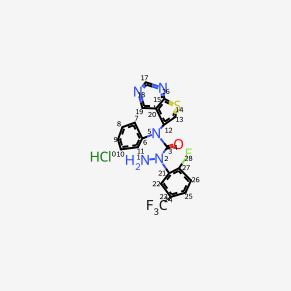 Cl.NN(C(=O)N(c1ccccc1)c1csc2ncncc12)c1cc(C(F)(F)F)ccc1F